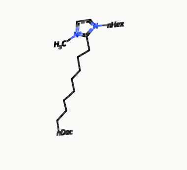 CCCCCCCCCCCCCCCCCCc1n(CCCCCC)cc[n+]1C